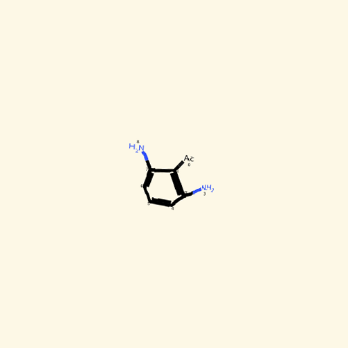 CC(=O)c1c(N)cccc1N